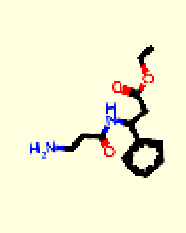 CCOC(=O)CC(NC(=O)CCN)c1ccccc1